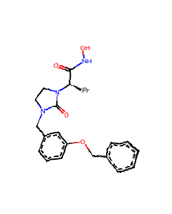 CC(C)[C@H](C(=O)NO)N1CCN(Cc2cccc(OCc3ccccc3)c2)C1=O